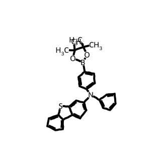 CC1(C)OB(c2ccc(N(c3ccccc3)c3ccc4c(c3)sc3ccccc34)cc2)OC1(C)C